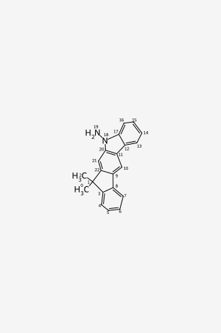 CC1(C)c2ccccc2-c2cc3c4ccccc4n(N)c3cc21